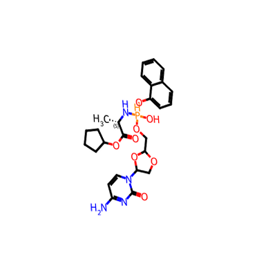 C[C@H](N[PH](O)(OCC1OCC(n2ccc(N)nc2=O)O1)Oc1cccc2ccccc12)C(=O)OC1CCCC1